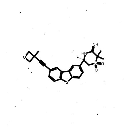 CC1(C#Cc2ccc3sc4ccc([C@]5(C)CS(=O)(=O)C(C)(C)C(=N)N5)cc4c3c2)COC1